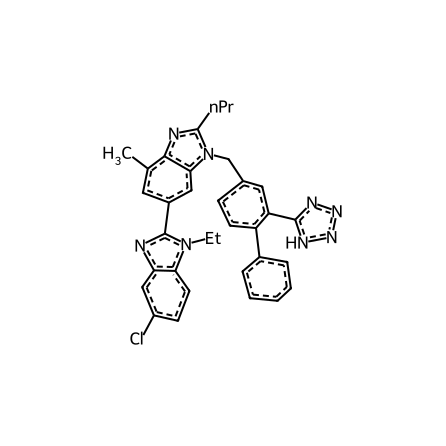 CCCc1nc2c(C)cc(-c3nc4cc(Cl)ccc4n3CC)cc2n1Cc1ccc(-c2ccccc2)c(-c2nnn[nH]2)c1